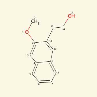 COc1cc2ccccc2cc1CCO